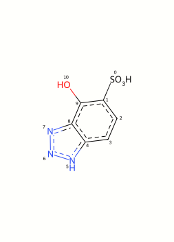 O=S(=O)(O)c1ccc2[nH]nnc2c1O